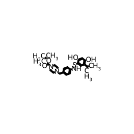 CC(C)c1cc(SNc2ccc(CN3CCN(C(=O)OC(C)(C)C)CC3)cc2)c(O)cc1O